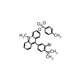 CN(C)c1ccc(-c2c3ccccc3[n+](C)c3ccccc23)cc1Br.Cc1ccc(S(=O)(=O)[O-])cc1